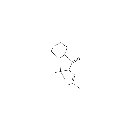 CC(C)=CC(C(=O)N1CCOCC1)C(C)(C)C